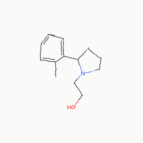 Cc1ccccc1C1CCCN1CCO